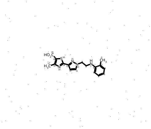 Cc1ccccc1NCCn1ccc(-c2nc(C)c(C(=O)O)s2)n1